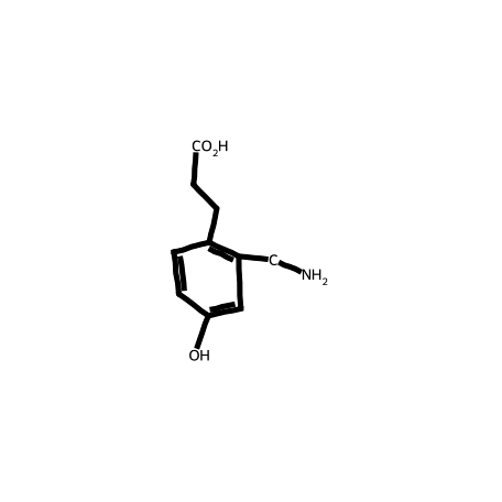 NCc1cc(O)ccc1CCC(=O)O